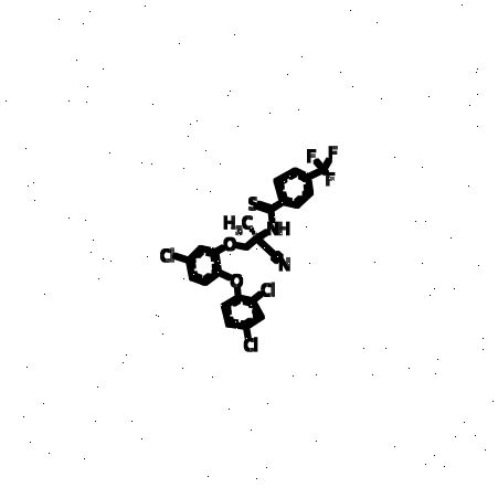 C[C@](C#N)(COc1cc(Cl)ccc1Oc1ccc(Cl)cc1Cl)NC(=S)c1ccc(C(F)(F)F)cc1